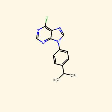 CC(C)c1ccc(-n2cnc3c(Cl)ncnc32)cc1